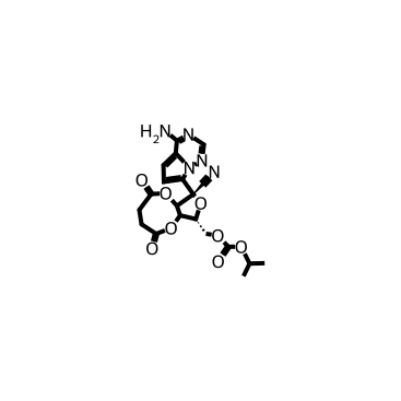 CC(C)OC(=O)OC[C@H]1O[C@@](C#N)(c2ccc3c(N)ncnn23)C2OC(=O)CCC(=O)OC21